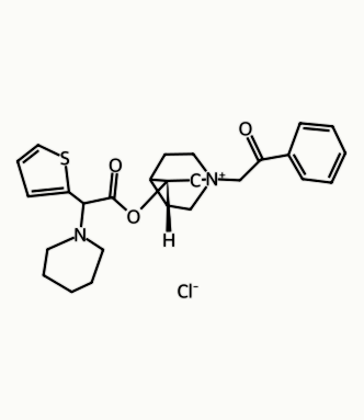 O=C(C[N+]12CCC(CC1)[C@@H](OC(=O)C(c1cccs1)N1CCCCC1)C2)c1ccccc1.[Cl-]